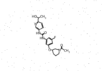 CC(=O)N1CCCC(Oc2cc(F)cc(NC(=O)Nc3ccc(C(C)O)nc3)c2)C1